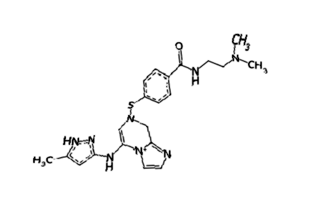 Cc1cc(NC2=CN(Sc3ccc(C(=O)NCCN(C)C)cc3)CC3=NC=C[N+]23)n[nH]1